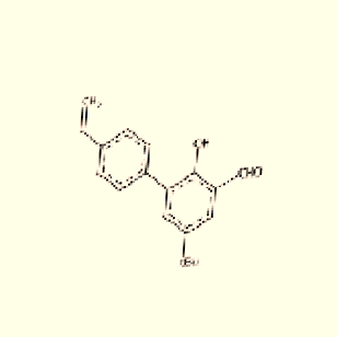 C=Cc1ccc(-c2cc(C(C)(C)C)cc(C=O)c2O)cc1